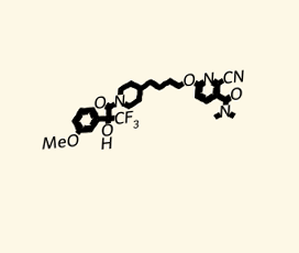 COc1cccc(C(O)(C(=O)N2CCC(CCCCOc3ccc(C(=O)N(C)C)c(C#N)n3)CC2)C(F)(F)F)c1